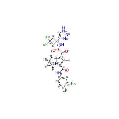 Cc1c(C(=O)C(=O)NC2(c3c[nH]nn3)CC(F)(F)C2)c2n(c1C(=O)Nc1ccc(F)c(F)c1)[C@@H]1C[C@@H]1C2